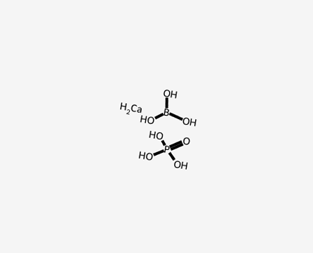 O=P(O)(O)O.OB(O)O.[CaH2]